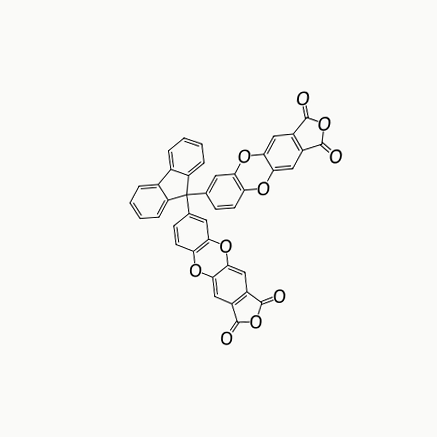 O=c1oc(=O)c2cc3oc4cc(C5(c6ccc7oc8cc9c(=O)oc(=O)c9cc8oc7c6)c6ccccc6-c6ccccc65)ccc4oc3cc12